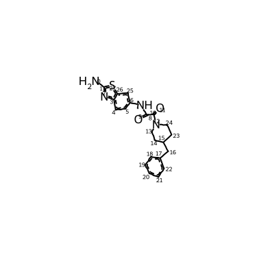 Nc1nc2ccc(NC(=O)C(=O)N3CCC(Cc4ccccc4)CC3)cc2s1